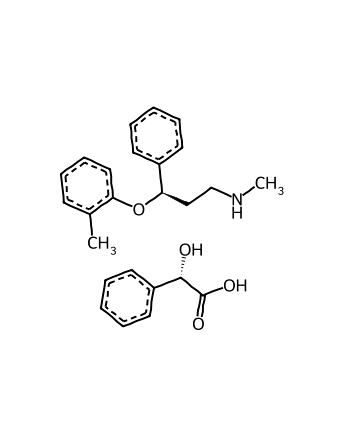 CNCC[C@@H](Oc1ccccc1C)c1ccccc1.O=C(O)[C@@H](O)c1ccccc1